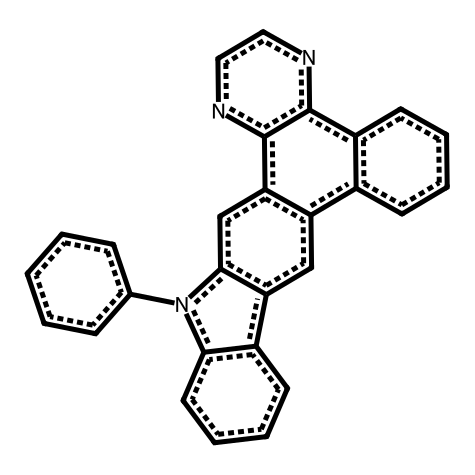 c1ccc(-n2c3ccccc3c3cc4c5ccccc5c5nccnc5c4cc32)cc1